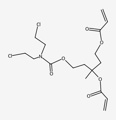 C=CC(=O)OCCC(C)(CCOC(=O)N(CCCl)CCCl)OC(=O)C=C